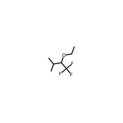 CCOC(C(C)C)C(F)(F)F